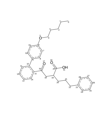 CCCCCOc1ccc(-c2ccccc2C(=O)CC(CCCc2ccccc2)C(=O)O)cc1